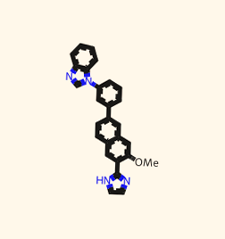 COc1cc2cc(-c3cccc(-n4cnc5ccccc54)c3)ccc2cc1-c1ncc[nH]1